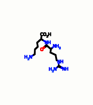 N=C(N)NCCCC(N)C(=O)NC(CCCCN)C(=O)O